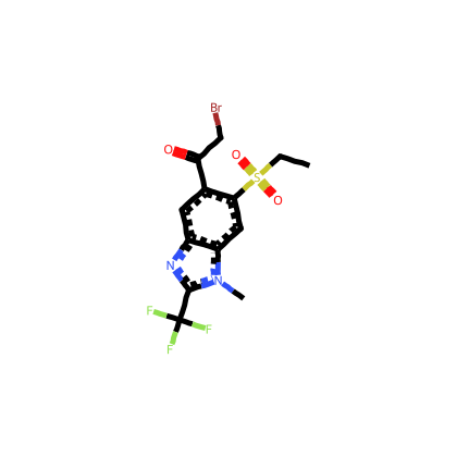 CCS(=O)(=O)c1cc2c(cc1C(=O)CBr)nc(C(F)(F)F)n2C